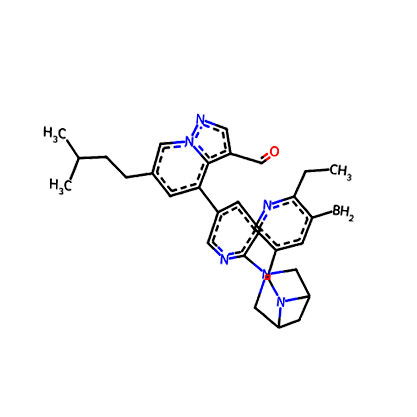 Bc1cc(CN2C3CC2CN(c2ccc(-c4cc(CCC(C)C)cn5ncc(C=O)c45)cn2)C3)cnc1CC